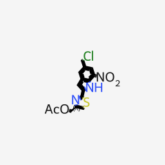 CC(=O)OC[C@@H]1CSC(c2cc3cc(CCl)cc([N+](=O)[O-])c3[nH]2)=N1